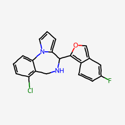 Fc1ccc2c(C3NCc4c(Cl)cccc4-n4cccc43)occ2c1